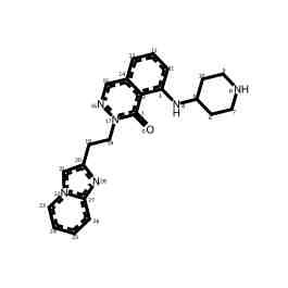 O=c1c2c(NC3CCNCC3)cccc2cnn1CCc1cn2ccccc2n1